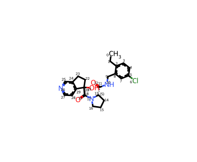 CCc1ccc(Cl)cc1CNC(=O)[C@@H]1CCCN1C(=O)C1(O)CCc2cnccc21